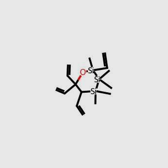 C=CC1C(C=C)(C=C)O[Si](C)(C=C)[Si](C)(C)[Si]1(C)C